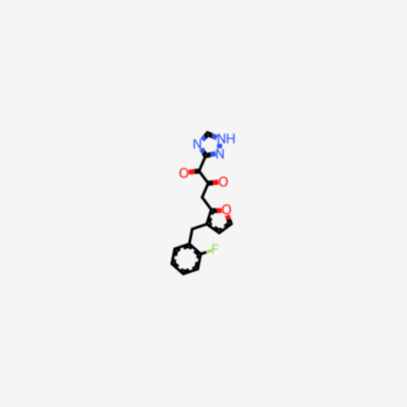 O=C(Cc1occc1Cc1ccccc1F)C(=O)c1nc[nH]n1